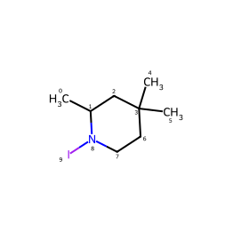 CC1CC(C)(C)CCN1I